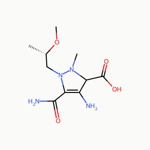 CO[C@@H](C)CN1C(C(N)=O)=C(N)C(C(=O)O)N1C